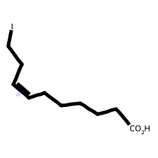 O=C(O)CCCCC/C=C\CCI